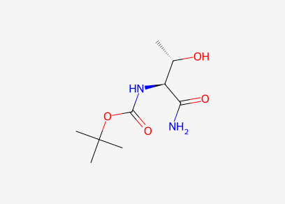 C[C@H](O)[C@H](NC(=O)OC(C)(C)C)C(N)=O